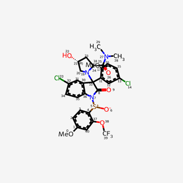 COc1ccc([S+]([O-])N2C(=O)C(c3cc(Cl)ccc3OC)(N3C[C@H](O)C[C@H]3C(=O)N(C)C)c3cc(Cl)ccc32)c(OC(F)(F)F)c1